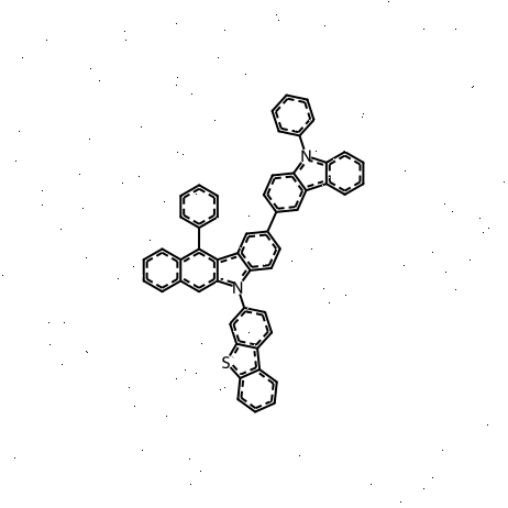 c1ccc(-c2c3ccccc3cc3c2c2cc(-c4ccc5c(c4)c4ccccc4n5-c4ccccc4)ccc2n3-c2ccc3c(c2)sc2ccccc23)cc1